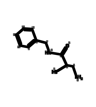 NCC(S)C(=O)NCc1ccccc1